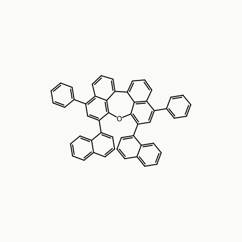 c1ccc(-c2cc(-c3cccc4ccccc34)c3oc4c(-c5cccc6ccccc56)cc(-c5ccccc5)c5cccc(c6cccc2c36)c54)cc1